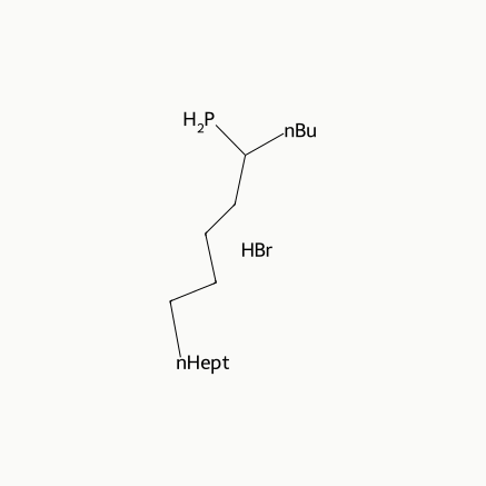 Br.CCCCCCCCCCCC(P)CCCC